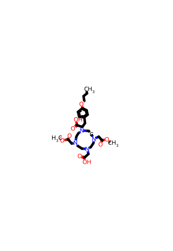 CCCCOc1ccc(CC(C(=O)O)N2CCN(CC(=O)OC)CCN(CC(=O)O)CCN(CC(=O)OC)CC2)cc1